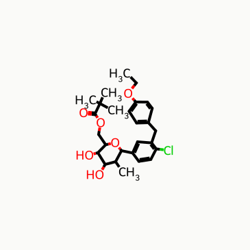 CCOc1ccc(Cc2cc(C3OC(COC(=O)C(C)(C)C)C(O)C(O)C3C)ccc2Cl)cc1